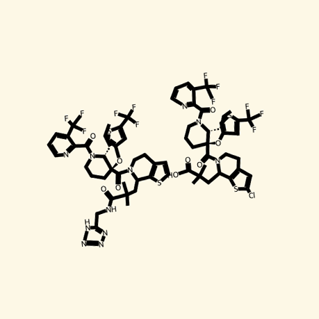 CCC[C@H]1N(C(=O)c2ncccc2C(F)(F)F)CCC[C@@]1(Oc1csc(C(F)(F)F)c1)C(=O)N1CCc2cc(Cl)sc2C1CC(C)(C)C(=O)O.CCC[C@H]1N(C(=O)c2ncccc2C(F)(F)F)CCC[C@@]1(Oc1csc(C(F)(F)F)c1)C(=O)N1CCc2ccsc2C1CC(C)(C)C(=O)NCc1nnn[nH]1